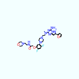 CN(CCN1CCN(c2cc(OCC(=O)NCCN3CCOCC3)c(F)cc2F)CC1)c1nc(N)n2nc(-c3ccco3)cc2n1